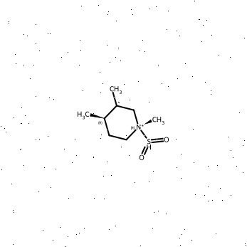 CC1C[N@+](C)([SH](=O)=O)CC[C@H]1C